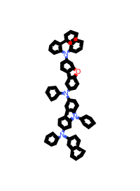 c1ccc(-c2ccccc2N(c2ccccc2)c2ccc3c(c2)oc2ccc(N(c4ccccc4)c4ccc5c(c4)c4ccc(N(c6ccccc6)c6ccc7ccccc7c6)cc4n5-c4ccccc4)cc23)cc1